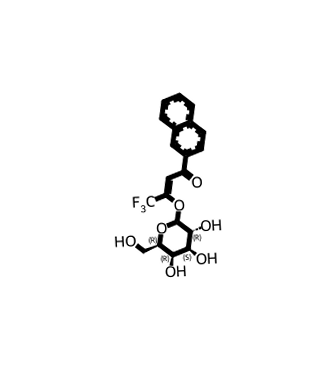 O=C(C=C(OC1O[C@H](CO)[C@H](O)[C@H](O)[C@H]1O)C(F)(F)F)c1ccc2ccccc2c1